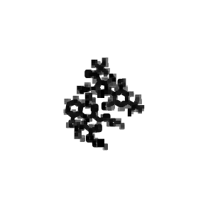 COCC(=O)N(c1c(C)cccc1C)[C@H](C)C(=O)OC.N#Cc1nn(-c2c(Cl)cc(C(F)(F)F)cc2Cl)c(N)c1[S+]([O-])C(F)(F)F